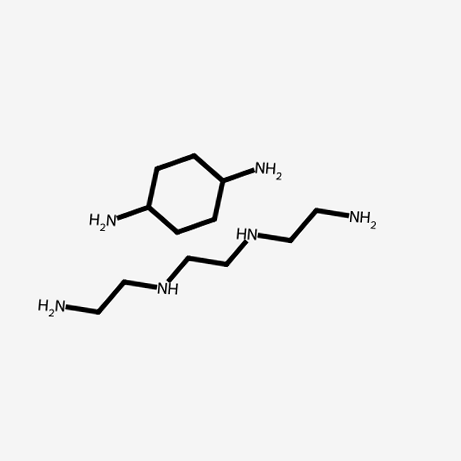 NC1CCC(N)CC1.NCCNCCNCCN